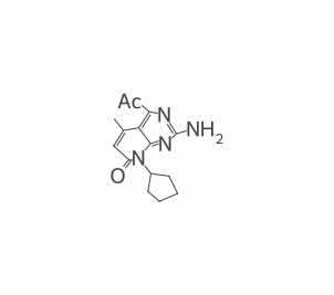 CC(=O)c1nc(N)nc2c1c(C)cc(=O)n2C1CCCC1